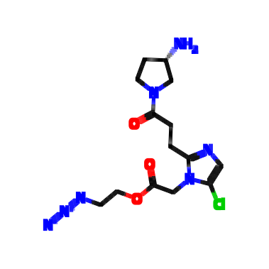 [N-]=[N+]=NCCOC(=O)Cn1c(Cl)cnc1CCC(=O)N1CC[C@H](N)C1